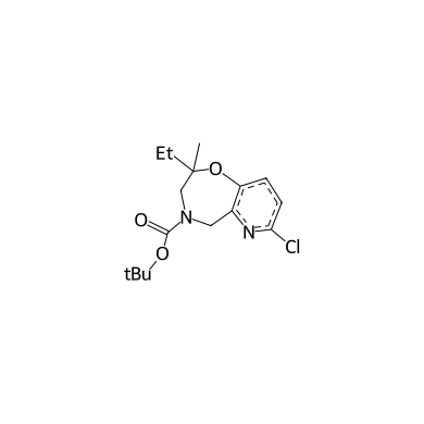 CCC1(C)CN(C(=O)OC(C)(C)C)Cc2nc(Cl)ccc2O1